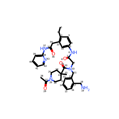 CCc1ccc(NC(=O)CN(Cc2ccccc2CN)C(=O)C2(C)CCN(C(C)=O)CC2)cc1CC(=O)Nc1ccccn1